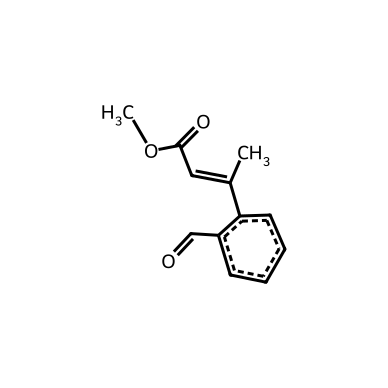 COC(=O)C=C(C)c1ccccc1C=O